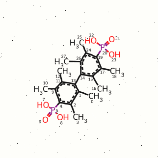 Cc1c(C)c(P(=O)(O)O)c(C)c(C)c1-c1c(C)c(C)c(P(=O)(O)O)c(C)c1C